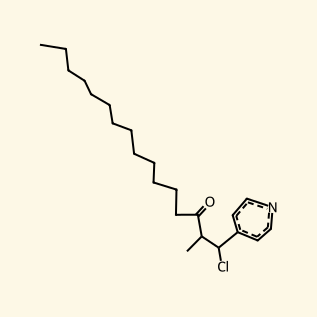 CCCCCCCCCCCCCC(=O)C(C)C(Cl)c1ccncc1